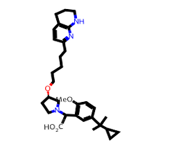 COc1ccc(C(C)(C)C2CC2)cc1C(C(=O)O)N1CC[C@@H](OCCCCCc2ccc3c(n2)NCCC3)C1